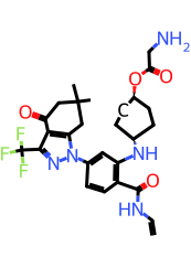 C=CNC(=O)c1ccc(-n2nc(C(F)(F)F)c3c2CC(C)(C)CC3=O)cc1N[C@H]1CC[C@H](OC(=O)CN)CC1